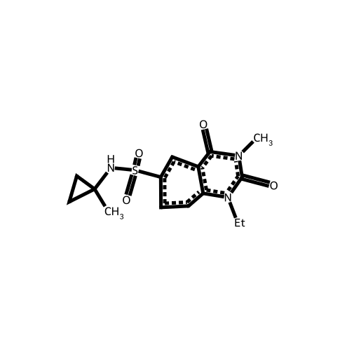 CCn1c(=O)n(C)c(=O)c2cc(S(=O)(=O)NC3(C)CC3)ccc21